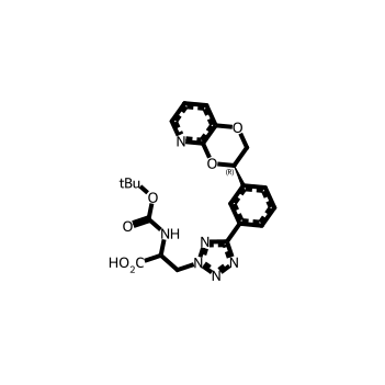 CC(C)(C)OC(=O)NC(Cn1nnc(-c2cccc([C@@H]3COc4cccnc4O3)c2)n1)C(=O)O